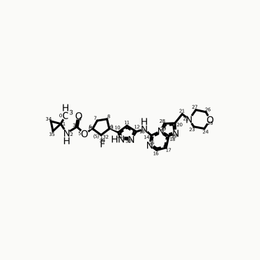 CC1(NC(=O)O[C@H]2CC[C@@H](c3cc(Nc4nccc5nc(CN6CCOCC6)cn45)n[nH]3)[C@@H]2F)CC1